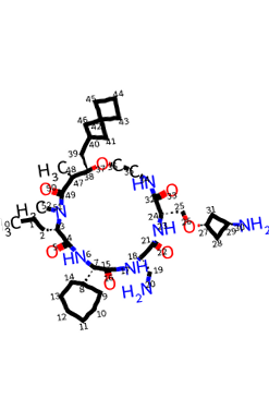 CCC[C@H]1C(=O)N[C@@H](C2CCCCCC2)C(=O)N[C@@H](CN)C(=O)N[C@@H](CO[C@H]2C[C@H](N)C2)C(=O)NCCO[C@H](CC2CC3(CCC3)C2)[C@@H](C)C(=O)N1C